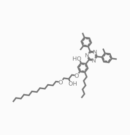 CCCCCCCCCCCCOCC(O)COc1cc(O)c(-c2nc(-c3ccc(C)cc3C)nc(-c3ccc(C)cc3C)n2)cc1CCCCCC